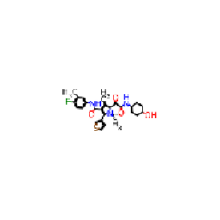 Cc1cc(NC(=O)c2c(C)c(C(=O)C(=O)NC3CCC(O)CC3)n(C)c2-c2ccsc2)ccc1F